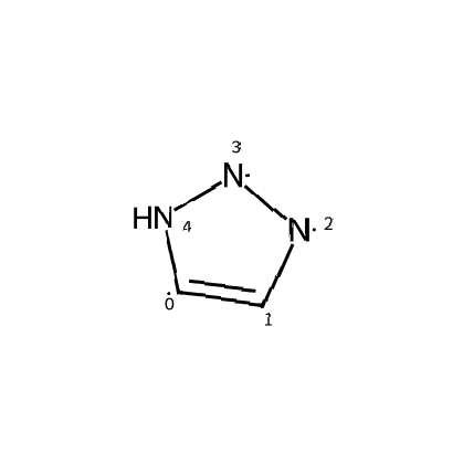 [C]1=C[N][N]N1